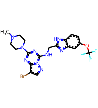 CN1CCN(c2nc(NCc3nc4cc(OC(F)(F)F)ccc4[nH]3)n3ncc(Br)c3n2)CC1